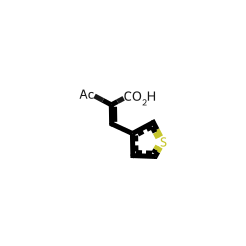 CC(=O)C(=Cc1ccsc1)C(=O)O